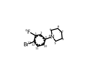 Fc1cc(N2CC[CH]CC2)ccc1Br